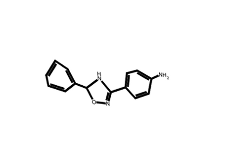 Nc1ccc(C2=NOC(c3ccccc3)N2)cc1